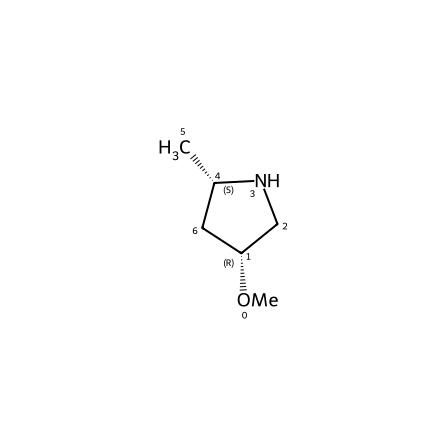 CO[C@H]1CN[C@@H](C)C1